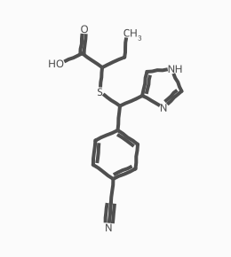 CCC(SC(c1ccc(C#N)cc1)c1c[nH]cn1)C(=O)O